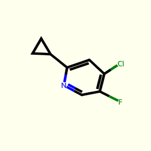 Fc1cnc(C2CC2)cc1Cl